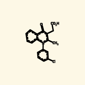 Cc1c(CC(=O)O)c(=O)c2ccccc2n1-c1cccc(Cl)c1